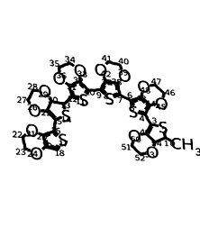 CC1SC(c2sc(-c3sc(-c4sc(C5SC(c6scc7c6OCCO7)=C6OCCOC65)c5c4OCCO5)c4c3OCCO4)c3c2OCCO3)=C2OCCOC21